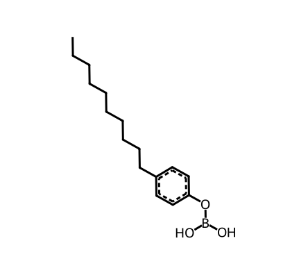 CCCCCCCCCCc1ccc(OB(O)O)cc1